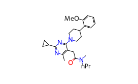 CCCN(C)C(=O)Cc1c(C)nc(C2CC2)nc1N1CCC(c2ccccc2OC)CC1